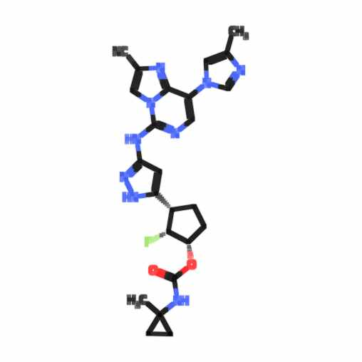 Cc1cn(-c2cnc(Nc3cc([C@@H]4CC[C@H](OC(=O)NC5(C)CC5)[C@@H]4F)[nH]n3)n3cc(C#N)nc23)cn1